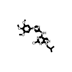 COc1cc(-n2cnc(Nc3nc(Cl)nc4c3cnn4CC(C)C)c2)cc(OC)c1OC